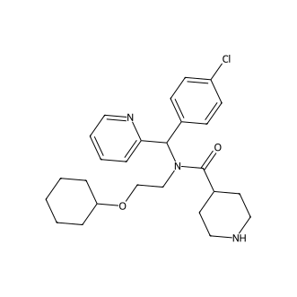 O=C(C1CCNCC1)N(CCOC1CCCCC1)C(c1ccc(Cl)cc1)c1ccccn1